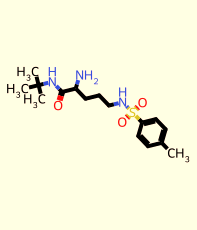 Cc1ccc(S(=O)(=O)NCCCC(N)C(=O)NC(C)(C)C)cc1